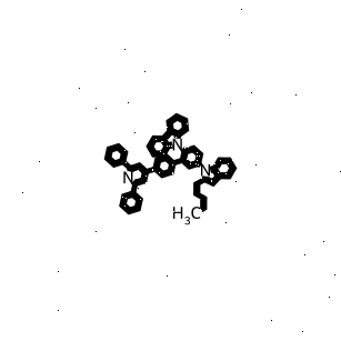 C/C=C\C=C/c1cc2ccccc2n1-c1ccc(-n2c3ccccc3c3ccccc32)c(-c2ccc(-c3cc(-c4ccccc4)nc(-c4ccccc4)c3)cc2)c1